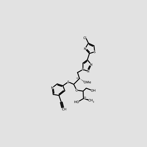 C#Cc1cncc(SC(OC(CO)[C@@H](C)O)[C@H](Cn2cc(-c3nc(Cl)cs3)nn2)OC)c1